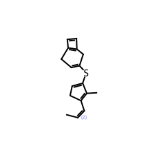 C/C=C\C1=C(C)C(SC2=CCC3=C(C=C3)C2)=CC1